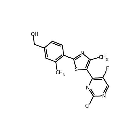 Cc1cc(CO)ccc1-c1nc(C)c(-c2nc(Cl)ncc2F)s1